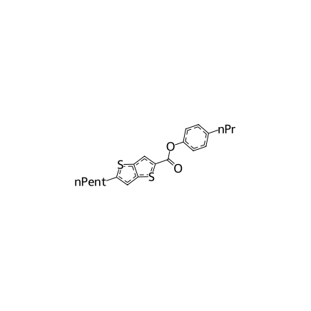 CCCCCc1cc2sc(C(=O)Oc3ccc(CCC)cc3)cc2s1